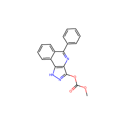 COC(=O)Oc1n[nH]c2c1nc(-c1ccccc1)c1ccccc12